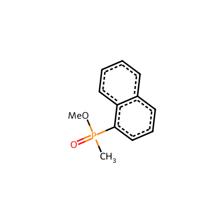 COP(C)(=O)c1cccc2ccccc12